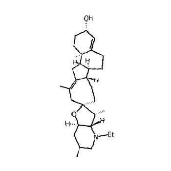 CCN1C[C@@H](C)C[C@H]2O[C@]3(CC[C@@H]4C(=C(C)C3)C[C@H]3[C@H]4CCC4=C[C@@H](O)CC[C@@]43C)[C@H](C)[C@@H]21